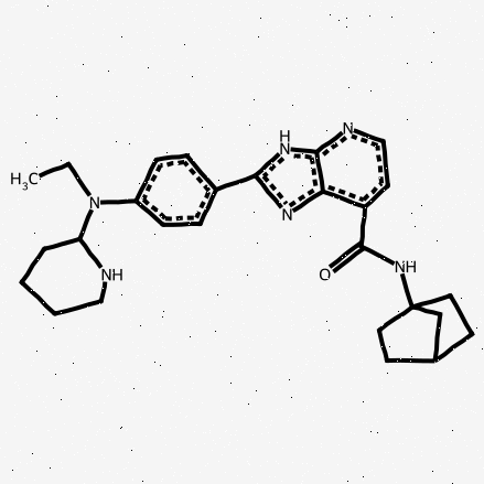 CCN(c1ccc(-c2nc3c(C(=O)NC45CCC(CC4)C5)ccnc3[nH]2)cc1)C1CCCCN1